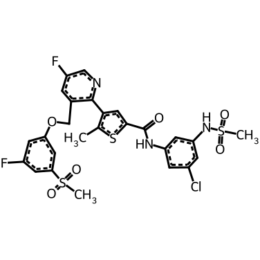 Cc1sc(C(=O)Nc2cc(Cl)cc(NS(C)(=O)=O)c2)cc1-c1ncc(F)cc1COc1cc(F)cc(S(C)(=O)=O)c1